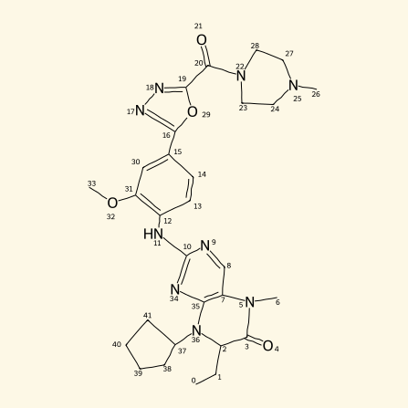 CCC1C(=O)N(C)c2cnc(Nc3ccc(-c4nnc(C(=O)N5CCN(C)CC5)o4)cc3OC)nc2N1C1CCCC1